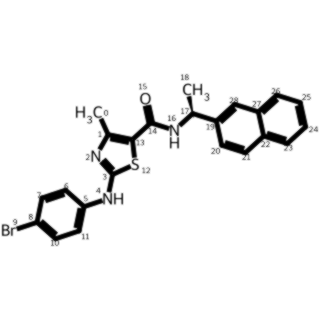 Cc1nc(Nc2ccc(Br)cc2)sc1C(=O)N[C@@H](C)c1ccc2ccccc2c1